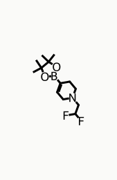 CC1(C)OB(C2=CCN(CC(F)F)CC2)OC1(C)C